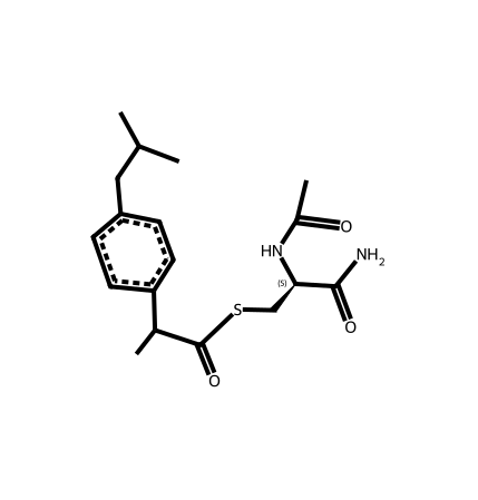 CC(=O)N[C@H](CSC(=O)C(C)c1ccc(CC(C)C)cc1)C(N)=O